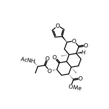 COC(=O)[C@@H]1C[C@H](OC(=O)[C@H](C)NC(C)=O)C(=O)C2[C@@]1(C)CC[C@H]1C(=O)O[C@H](c3ccoc3)C[C@]21C